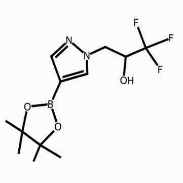 CC1(C)OB(c2cnn(CC(O)C(F)(F)F)c2)OC1(C)C